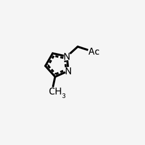 CC(=O)Cn1ccc(C)n1